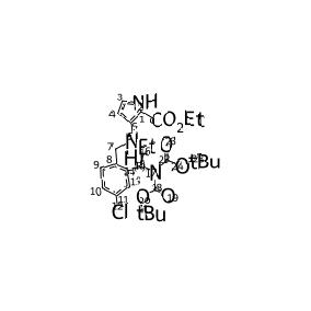 CCOC(=O)c1[nH]ccc1NCc1ccc(Cl)cc1[C@@H](CC)N(C(=O)OC(C)(C)C)C(=O)OC(C)(C)C